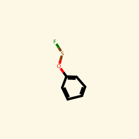 FSOc1ccccc1